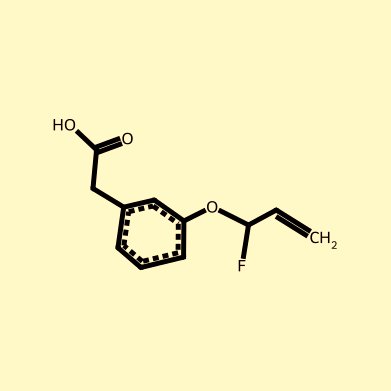 C=CC(F)Oc1cccc(CC(=O)O)c1